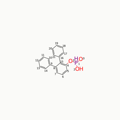 O=[PH](O)Oc1cccc(-c2ccccc2)c1-c1ccccc1